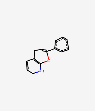 C1=CC2=C(NC1)OC(c1ccccc1)=CC2